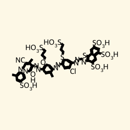 Cc1cc(N=Nc2c(C)c(C#N)c3nc4c(C)cc(S(=O)(=O)O)cc4n3c2O)c(OCCCS(=O)(=O)O)cc1N=Nc1cc(Cl)c(N=Nc2nc3c(S(=O)(=O)O)cc4c(S(=O)(=O)O)cc(S(=O)(=O)O)cc4c3s2)cc1SCCCS(=O)(=O)O